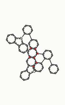 c1ccc(-c2ccccc2-c2c(-c3ccccc3)cccc2N(c2ccc(-c3ccccc3-n3c4ccccc4c4ccccc43)cc2)c2ccc3c(c2)oc2ccccc23)cc1